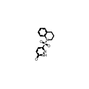 O=c1ccc(S(=O)(=O)N2CCCc3ccccc32)n[nH]1